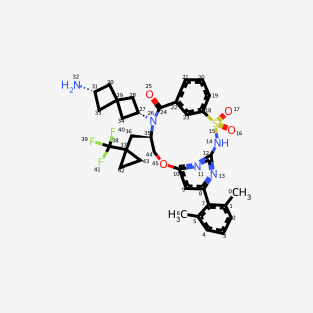 Cc1cccc(C)c1-c1cc2nc(n1)NS(=O)(=O)c1cccc(c1)C(=O)N([C@H]1CC3(C[C@@H](N)C3)C1)[C@H](CC1(C(F)(F)F)CC1)CO2